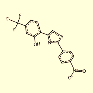 O=[N+]([O-])c1ccc(-c2nc(-c3ccc(C(F)(F)F)cc3O)cs2)cc1